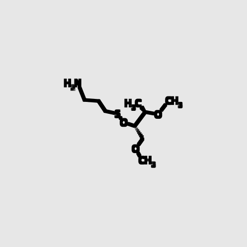 COC[C@H](OSCCCN)[C@@H](C)OC